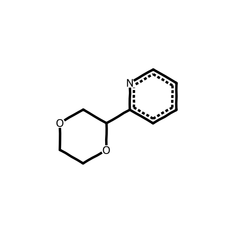 c1ccc(C2COCCO2)nc1